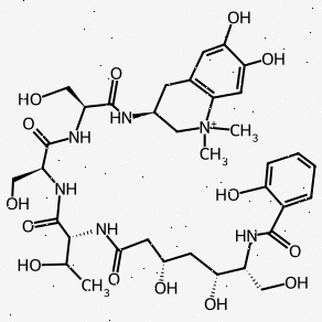 CC(O)[C@@H](NC(=O)C[C@@H](O)C[C@@H](O)[C@@H](CO)NC(=O)c1ccccc1O)C(=O)N[C@@H](CO)C(=O)N[C@@H](CO)C(=O)N[C@H]1Cc2cc(O)c(O)cc2[N+](C)(C)C1